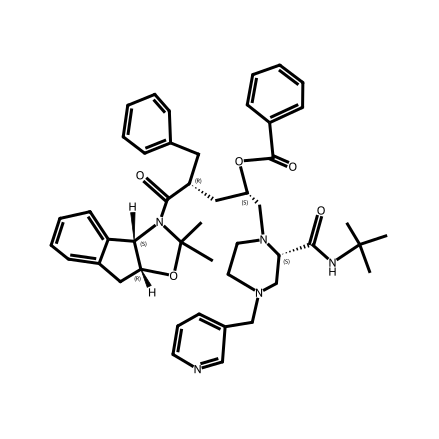 CC(C)(C)NC(=O)[C@@H]1CN(Cc2cccnc2)CCN1C[C@H](C[C@@H](Cc1ccccc1)C(=O)N1[C@H]2c3ccccc3C[C@H]2OC1(C)C)OC(=O)c1ccccc1